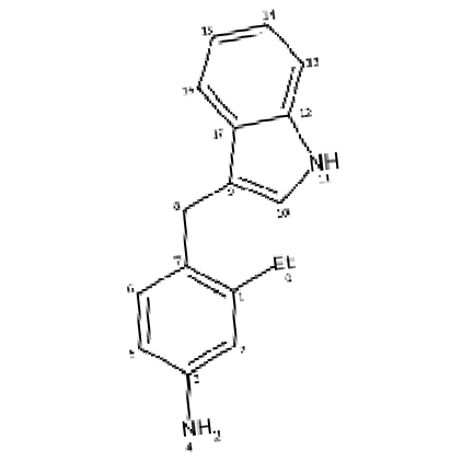 CCc1cc(N)ccc1Cc1c[nH]c2ccccc12